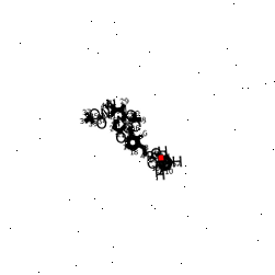 Cc1c(CCB2O[C@@H]3C[C@@H]4C[C@@H](C4(C)C)[C@]3(C)O2)ccc(O[C@H]2CCN(C(=O)C(C)c3cn(C(=O)OC(C)(C)C)cn3)C2)c1C(=O)OC(C)(C)C